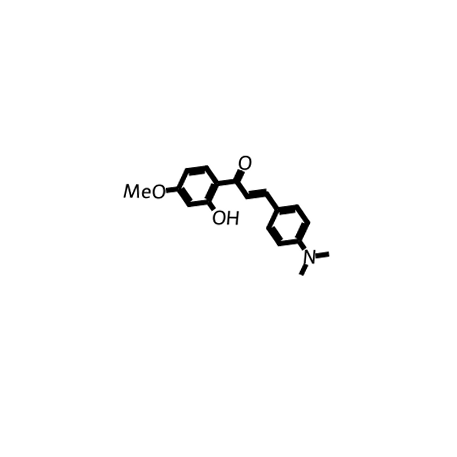 COc1ccc(C(=O)C=Cc2ccc(N(C)C)cc2)c(O)c1